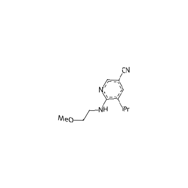 COCCNc1ncc(C#N)cc1C(C)C